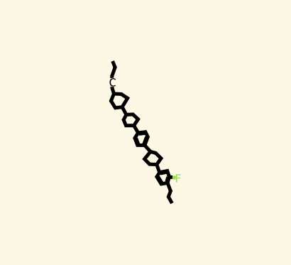 CCCCCC1CCC(C2CCC(c3ccc(C4CCC(c5ccc(CCC)c(F)c5)CC4)cc3)CC2)CC1